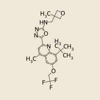 Cc1cc(-c2nnc(NCC3(C)COC3)o2)nc2c(C(C)(C)C)cc(OCC(F)(F)F)cc12